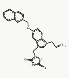 C=CCn1cc(Cn2oc(=O)[nH]c2=O)c2cc(OCc3ccc4ccccc4c3)ccc21